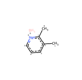 B.Cc1cccnc1C